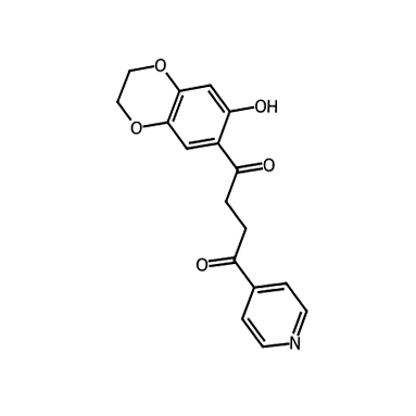 O=C(CCC(=O)c1cc2c(cc1O)OCCO2)c1ccncc1